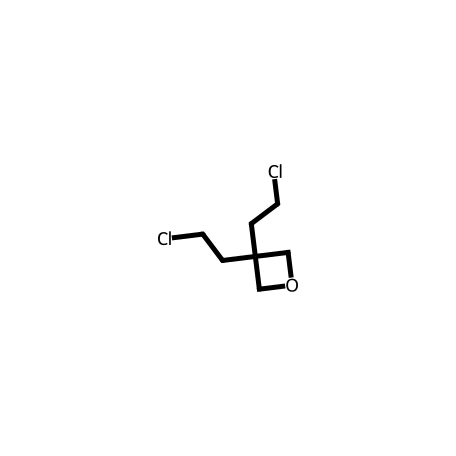 ClCCC1(CCCl)COC1